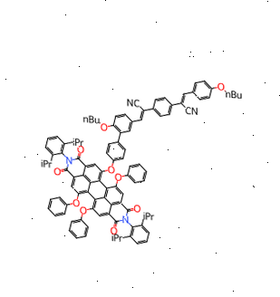 CCCCOc1ccc(/C=C(\C#N)c2ccc(/C(C#N)=C/c3ccc(OCCCC)c(-c4ccc(Oc5cc6c7c(cc(Oc8ccccc8)c8c9c(Oc%10ccccc%10)cc%10c%11c(cc(Oc%12ccccc%12)c(c5c78)c%119)C(=O)N(c5c(C(C)C)cccc5C(C)C)C%10=O)C(=O)N(c5c(C(C)C)cccc5C(C)C)C6=O)cc4)c3)cc2)cc1